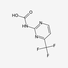 O=C(O)Nc1nccc(C(F)(F)F)n1